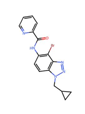 O=C(Nc1ccc2c(nnn2CC2CC2)c1Br)c1ccccn1